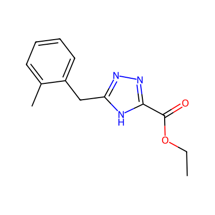 CCOC(=O)c1nnc(Cc2ccccc2C)[nH]1